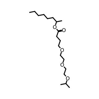 CCCCCCC(C)OC(=O)CCCOCCOCCOC(C)C